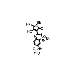 CCOP1(=O)N=C(C2=C(O)[CH]([RaH])[N]([Rb])C2=O)N=C2C=CC(NS(C)(=O)=O)=CC21